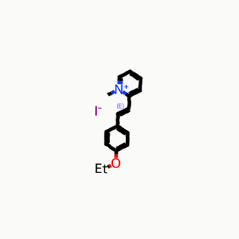 CCOc1ccc(/C=C/c2cccc[n+]2C)cc1.[I-]